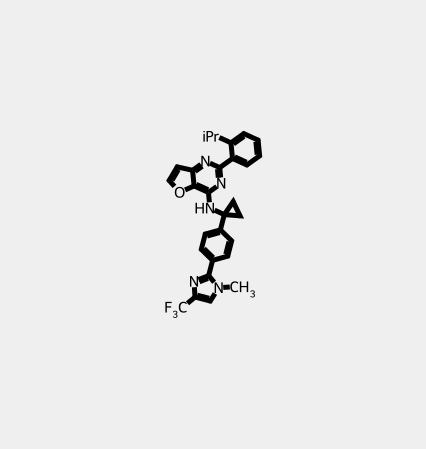 CC(C)c1ccccc1-c1nc(NC2(c3ccc(-c4nc(C(F)(F)F)cn4C)cc3)CC2)c2occc2n1